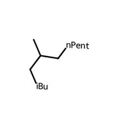 [CH2]CC(C)CC(C)CCCCCC